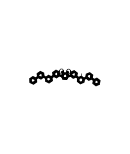 C[C@@H]1C(C2=CC(c3ccccc3)=CCC2)CCCC1c1ccc2oc3c(ccc4c5cc(C6=CC(c7cccc(C8=CCCC=C8)c7)CC=C6)ccc5oc43)c2c1